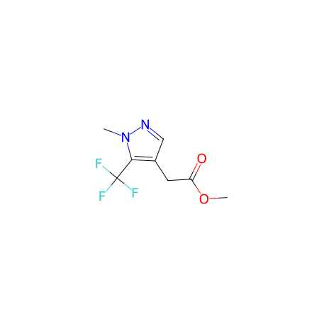 COC(=O)Cc1cnn(C)c1C(F)(F)F